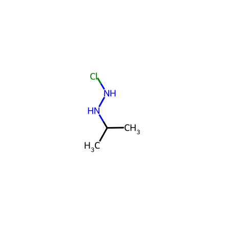 CC(C)NNCl